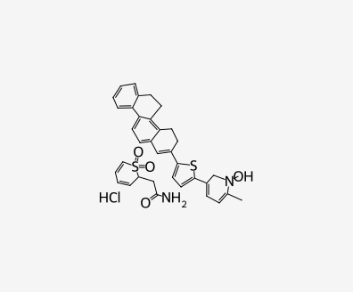 CC1=CC=C(c2ccc(C3=Cc4ccc5c(c4CC3)CCc3ccccc3-5)s2)CN1O.Cl.NC(=O)CC1C=CC=CS1(=O)=O